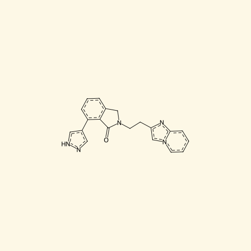 O=C1c2c(cccc2-c2cn[nH]c2)CN1CCc1cn2ccccc2n1